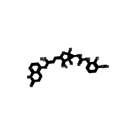 C=C1/C(=C\C=C(/C)Oc2ccnc3c2CCC(=O)N3)O[C@@H]2[C@@H](NC(=O)Nc3cccc(OC)c3Cl)[C@H]12